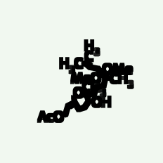 COC(CC=C(C)C)(OC)C(C)CCC[C@]1(C)OC/C(=C/COC(C)=O)CC[C@H]1O